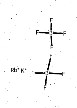 F[B-](F)(F)F.F[B-](F)(F)F.[K+].[Rb+]